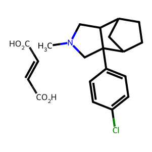 CN1CC2C3CCC(C3)C2(c2ccc(Cl)cc2)C1.O=C(O)C=CC(=O)O